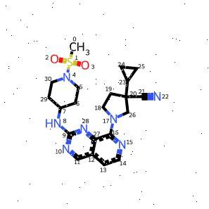 CS(=O)(=O)N1CCC(Nc2ncc3ccnc(N4CCC(C#N)(C5CC5)C4)c3n2)CC1